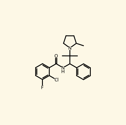 CC1CCCN1C(C)(C)C(NC(=O)c1cccc(F)c1Cl)c1ccccc1